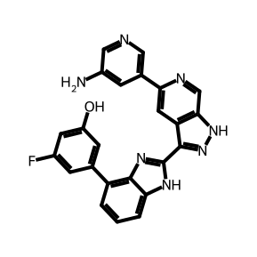 Nc1cncc(-c2cc3c(-c4nc5c(-c6cc(O)cc(F)c6)cccc5[nH]4)n[nH]c3cn2)c1